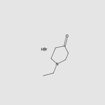 Br.CCN1CCC(=O)CC1